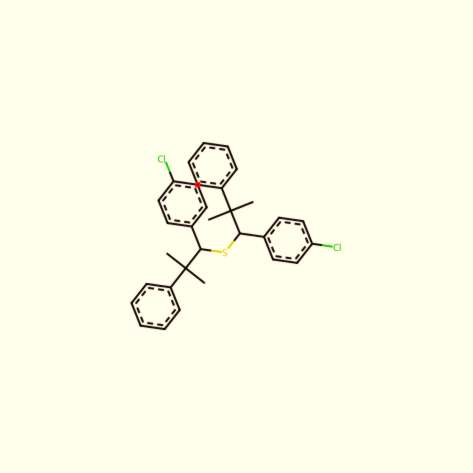 CC(C)(c1ccccc1)C(SC(c1ccc(Cl)cc1)C(C)(C)c1ccccc1)c1ccc(Cl)cc1